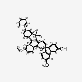 COc1ccc(C2(c3ccc(O)cc3)C=Cc3c4c(c5cc(OC)ccc5c3O2)-c2ccc(-c3ccccc3)cc2C4(C)C)cc1